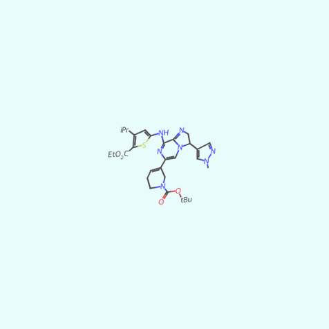 CCOC(=O)c1sc(NC2=NC(C3=CCCN(C(=O)OC(C)(C)C)C3)=CN3C2=NCC3c2cnn(C)c2)cc1C(C)C